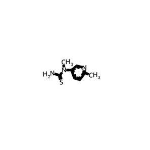 Cc1ccc(N(C)C(N)=S)cn1